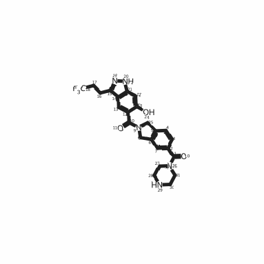 O=C(c1ccc2c(c1)CN(C(=O)c1cc3c(CCC(F)(F)F)n[nH]c3cc1O)C2)N1CCNCC1